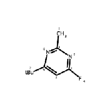 Cc1nc(F)cc(C(C)(C)C)n1